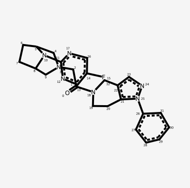 O=C(CN1CC2CCC(C1)N2c1ncc(F)cn1)N1CCc2c(cnn2-c2ccccc2)C1